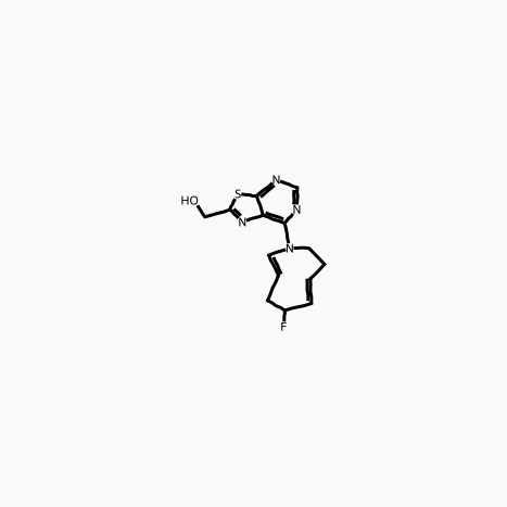 OCc1nc2c(N3/C=C/CC(F)/C=C/CC3)ncnc2s1